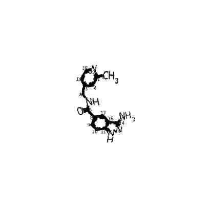 Cc1cc(CNC(=O)c2ccc3[nH]nc(N)c3c2)ccn1